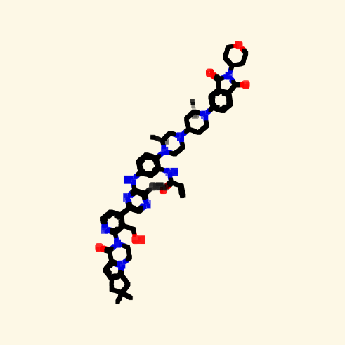 C=CC(=O)Nc1cc(Nc2nc(-c3ccnc(N4CCn5c(cc6c5CC(C)(C)C6)C4=O)c3CO)cnc2OC)ccc1N1CCN(C2CCN(c3ccc4c(c3)C(=O)N(C3CCOCC3)C4=O)[C@@H](C)C2)C[C@@H]1C